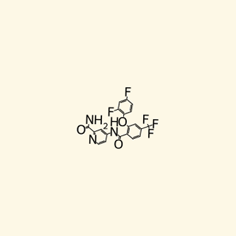 NC(=O)c1cc(NC(=O)c2ccc(C(F)(F)F)cc2Oc2ccc(F)cc2F)ccn1